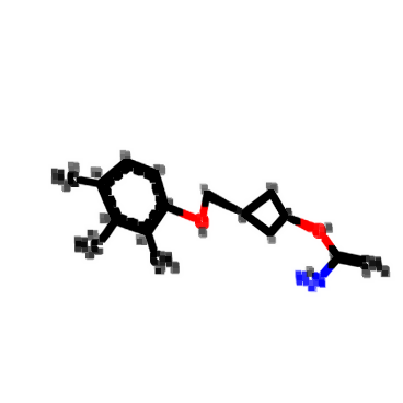 C=C(N)O[C@H]1C[C@@H](COc2ccc(C)c(C)c2C)C1